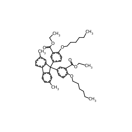 CCCCCCOc1ccc(C2(c3ccc(OCCCCCC)c(C(=O)OCC)c3)c3cc(C)ccc3-c3ccc(C)cc32)cc1C(=O)OCC